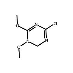 COC1=NC(Cl)=NCN1OC